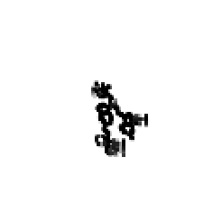 Cc1ccc2c(CCN(Cc3cnn(C)c3C)C3CCc4cc(C=CC(=O)NO)ccc43)c[nH]c2c1